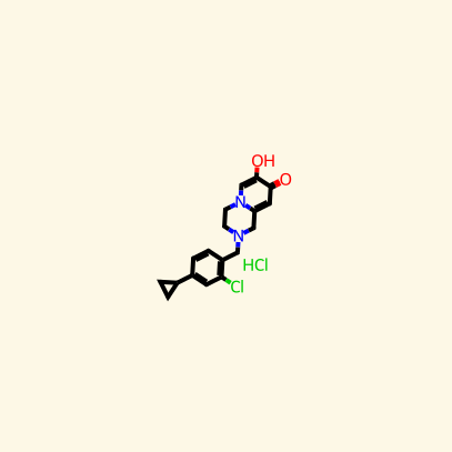 Cl.O=c1cc2n(cc1O)CCN(Cc1ccc(C3CC3)cc1Cl)C2